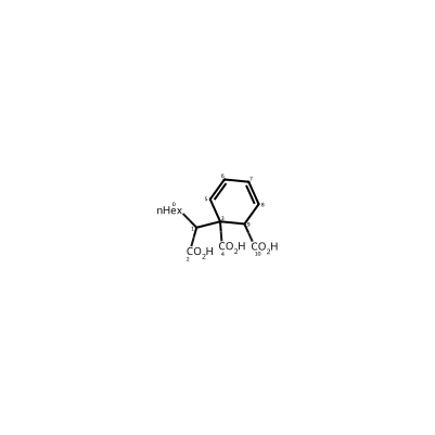 CCCCCCC(C(=O)O)C1(C(=O)O)C=CC=CC1C(=O)O